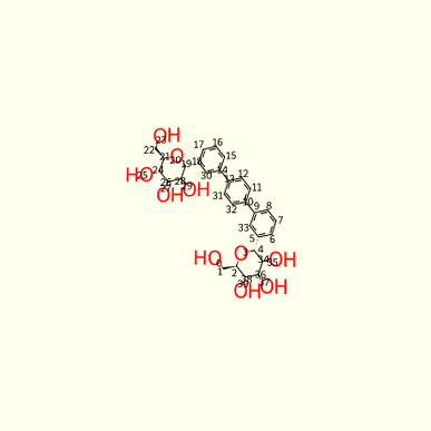 OC[C@H]1O[C@H](c2cccc(-c3ccc(-c4cccc([C@H]5O[C@H](CO)[C@@H](O)[C@H](O)[C@@H]5O)c4)cc3)c2)[C@@H](O)[C@@H](O)[C@@H]1O